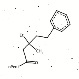 CCCCCC(=O)CC(C)(CC)CCc1ccccc1